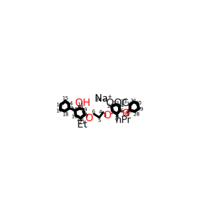 CCCc1c(OCCCOc2cc(O)c(-c3ccccc3)cc2CC)cccc1Oc1ccccc1C(=O)[O-].[Na+]